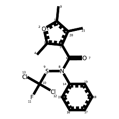 Cc1oc(C)c(C(=O)N(SC(F)(Cl)Cl)c2ccccc2)c1C